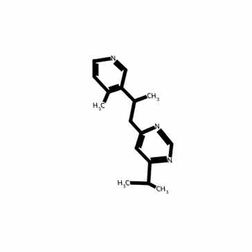 Cc1ccncc1C(C)Cc1cc(C(C)C)ncn1